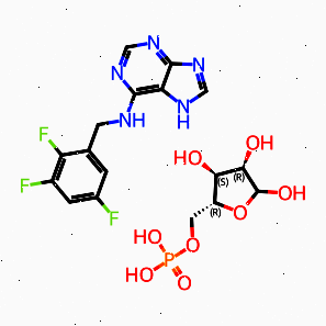 Fc1cc(F)c(F)c(CNc2ncnc3nc[nH]c23)c1.O=P(O)(O)OC[C@H]1OC(O)[C@H](O)[C@@H]1O